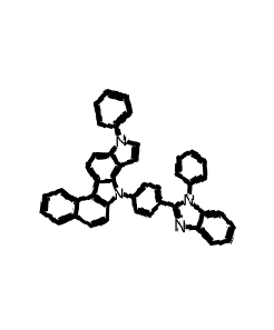 c1ccc(-n2ccc3c2ccc2c4c5ccccc5ccc4n(-c4ccc(-c5nc6ccccc6n5-c5ccccc5)cc4)c23)cc1